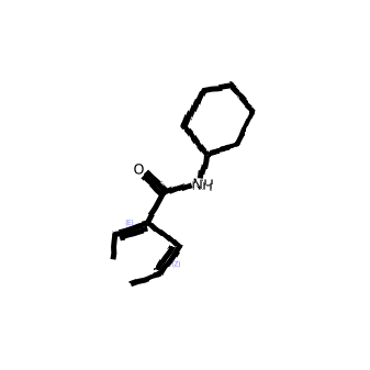 C/C=C\C(=C/C)C(=O)NC1CCCCC1